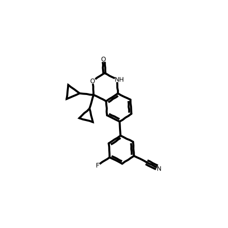 N#Cc1cc(F)cc(-c2ccc3c(c2)C(C2CC2)(C2CC2)OC(=O)N3)c1